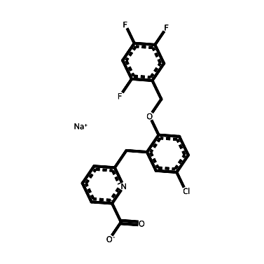 O=C([O-])c1cccc(Cc2cc(Cl)ccc2OCc2cc(F)c(F)cc2F)n1.[Na+]